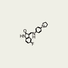 O=C1Nc2ccc(F)cc2/C1=C\Nc1ccc(N2CCCC2)cc1